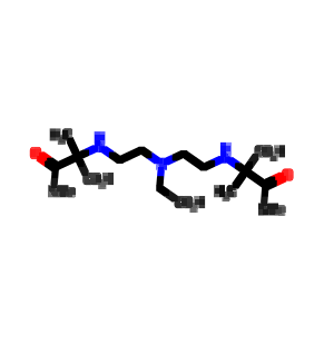 CNC(=O)C(C)(NCCN(CCNC(C)(C(=O)O)C(=O)NC)CC(=O)O)C(=O)O